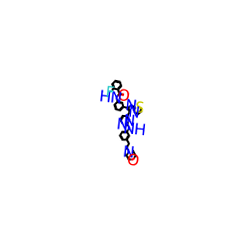 O=C(Nc1cccc(-c2nc3sccn3c2-c2ccnc(Nc3cccc(CCN4CCOCC4)c3)n2)c1)c1ccccc1F